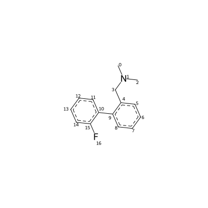 CN(C)Cc1ccccc1-c1ccccc1F